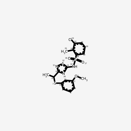 COc1cccc(SC(C)c2nsc(NS(=O)(=O)c3cccc(Cl)c3C)n2)c1